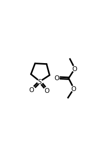 COC(=O)OC.O=S1(=O)CCCC1